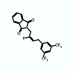 O=C1c2ccccc2C(=O)N1C/C(F)=C\Cc1cc(C(F)(F)F)cc(C(F)(F)F)c1